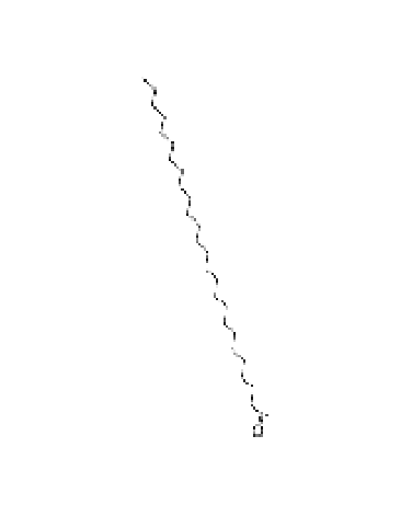 CCCCCCCCCCCCCCCCCCCCCCCCC[C]=O